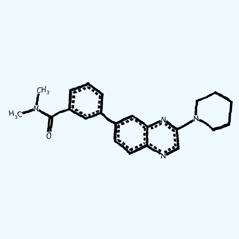 CN(C)C(=O)c1cccc(-c2ccc3ncc(N4CCCCC4)nc3c2)c1